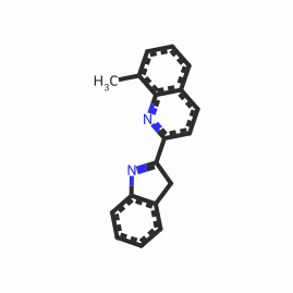 Cc1cccc2ccc(C3=Nc4ccccc4C3)nc12